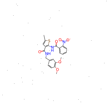 COc1ccc(CNC(=O)c2cc(C)sc2NC(=O)c2ccccc2[N+](=O)[O-])cc1OC